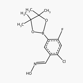 CC1(C)OB(c2cc(C=NO)c(Cl)cc2F)OC1(C)C